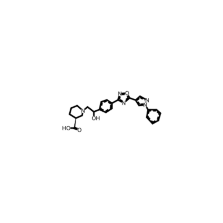 O=C(O)[C@H]1CCCN(CC(O)c2ccc(-c3noc(-c4cnn(-c5ccccc5)c4)n3)cc2)C1